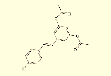 CC(=O)Oc1cc(C=Cc2ccc(F)cc2)cc(OC(C)=O)c1